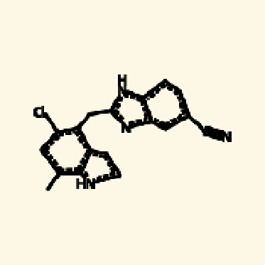 Cc1cc(Cl)c(Cc2nc3cc(C#N)ccc3[nH]2)c2cc[nH]c12